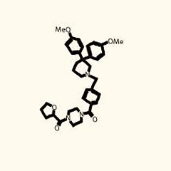 COc1ccc(C2(c3ccc(OC)cc3)CCCN(Cc3ccc(C(=O)N4CCN(C(=O)C5CCCO5)CC4)cc3)C2)cc1